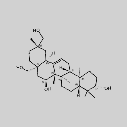 CC1(C)[C@@H](O)CC[C@]2(C)[C@H]3CC=C4[C@@H]5C[C@@](C)(CO)CC[C@]5(CO)C[C@H](O)[C@@]4(C)[C@]3(C)CC[C@@H]12